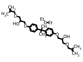 C=C(C)COCC(O)COc1ccc(C(C)(C)c2ccc(OCC(O)COCC(=C)C)cc2)cc1.CCOCC